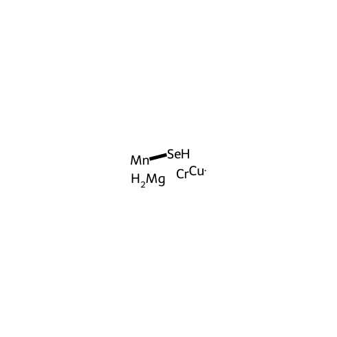 [Cr].[Cu].[MgH2].[Mn][SeH]